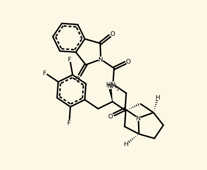 N[C@H](Cc1cc(F)c(F)cc1F)[C@@H]1C[C@H]2CC[C@@H](C1)N2C(=O)CNC(=O)N1C(=O)c2ccccc2C1=O